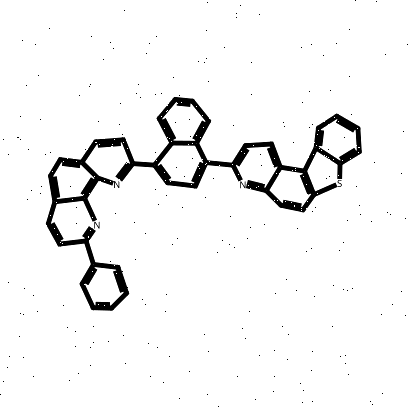 c1ccc(-c2ccc3ccc4ccc(-c5ccc(-c6ccc7c(ccc8sc9ccccc9c87)n6)c6ccccc56)nc4c3n2)cc1